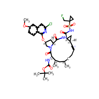 COc1ccc2c(O[C@@H]3C[C@H]4C(=O)N[C@]5(C(=O)NS(=O)(=O)C6(CF)CC6)C[C@H]5/C=C\CC[C@@H](C)C[C@@H](C)[C@H](NC(=O)OC(C)(C)C)C(=O)N4C3)nc(Cl)cc2c1